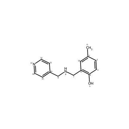 Cc1ccc(O)c(CNCc2ccncc2)c1